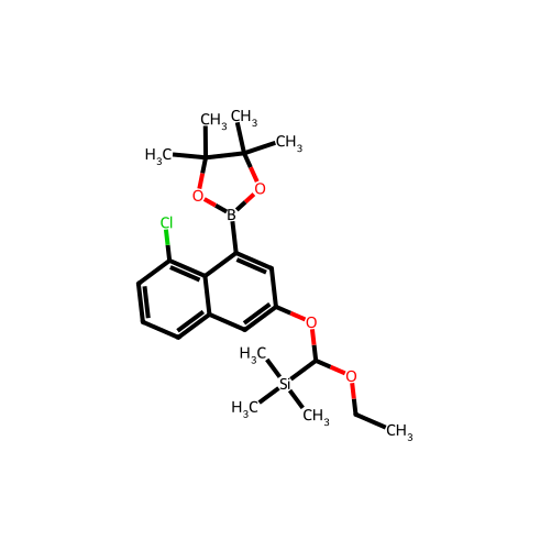 CCOC(Oc1cc(B2OC(C)(C)C(C)(C)O2)c2c(Cl)cccc2c1)[Si](C)(C)C